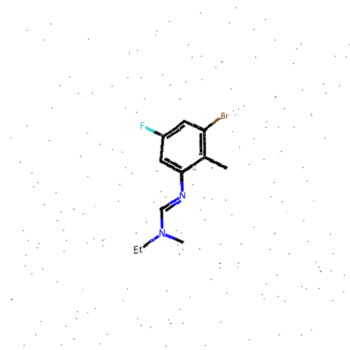 CCN(C)C=Nc1cc(F)cc(Br)c1C